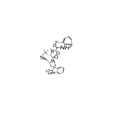 CN(C(=O)C(=O)Nc1c(F)cccc1F)[C@@H](CC(C)(C)C)C(=O)N1C[C@]2(C[C@H]1C#N)C(=O)Nc1ccccc12